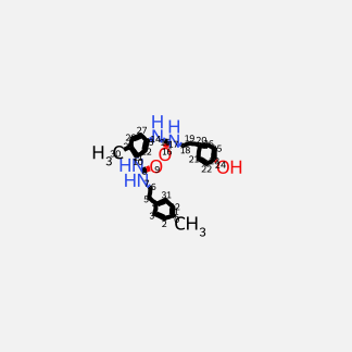 Cc1ccc(CCNC(=O)Nc2cc(NC(=O)NCCc3ccc(O)cc3)ccc2C)cc1